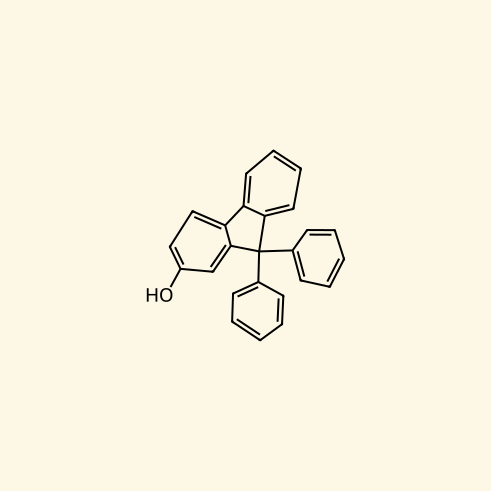 Oc1ccc2c(c1)C(c1ccccc1)(c1ccccc1)c1ccccc1-2